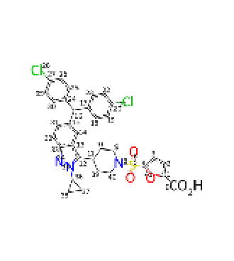 O=C(O)c1ccc(S(=O)(=O)N2CCC(c3c4cc(C(c5ccc(Cl)cc5)c5ccc(Cl)cc5)ccc4nn3C3CC3)CC2)o1